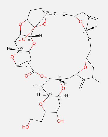 C=C1C(C)CC2CC[C@@H]3OC(CC[C@@]45CCC6OC7C(O4)[C@H]4OC(CCC4O[C@H]7C6O5)CC(=O)OC4[C@H](CC1O2)O[C@H]1CC(O)C(CCO)O[C@H]1[C@@H]4C)CC3=C